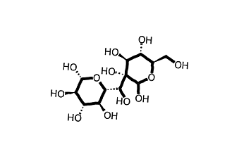 OC[C@H]1OC(O)[C@@](O)(C(O)[C@H]2O[C@@H](O)[C@H](O)[C@@H](O)[C@@H]2O)[C@@H](O)[C@@H]1O